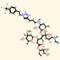 CC[C@@H](OC(=O)[C@H](C)[C@@H](O[C@H]1C[C@@](C)(OC)[C@@H](O)[C@H](C)O1)[C@H](C)[C@@H](O[C@@H]1O[C@H](C)C[C@H](N(C)CCCc2cn(CCc3ccc(C(F)(F)F)cc3)nn2)[C@H]1O)[C@](C)(O)C[C@@H](C)CN(C)CC)[C@@](C)(O)CO